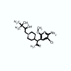 COc1nc(N)c(Cl)cc1C(C(C)=O)C1CCN(CC(O)C(C)(C)C)CC1